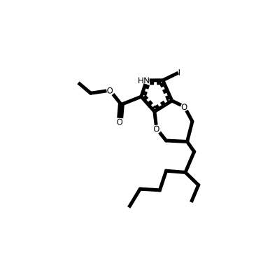 CCCCC(CC)CC1COc2c(I)[nH]c(C(=O)OCC)c2OC1